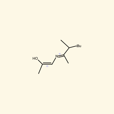 CCC(C)C(C)/C(C)=N/C=C(/C)O